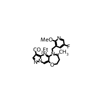 CCOC(=O)c1cnn2cc3c(nc12)N(Cc1cc(F)cnc1OC)[C@H](C)CCO3